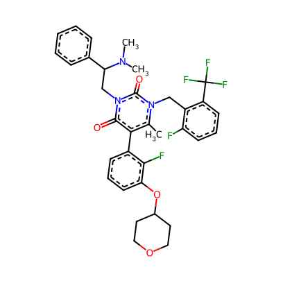 Cc1c(-c2cccc(OC3CCOCC3)c2F)c(=O)n(CC(c2ccccc2)N(C)C)c(=O)n1Cc1c(F)cccc1C(F)(F)F